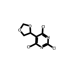 Clc1nc(Cl)c(C2COCO2)c(Cl)n1